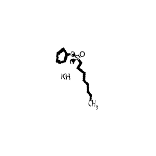 CCCCCCCCS(=O)(=O)Oc1ccccc1.[KH]